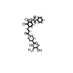 CC(NC(=O)C1CCN(C(=O)C=Cc2ccc(NS(=O)(=O)c3ccccc3)c(Cl)c2Cl)CC1)C(=O)O